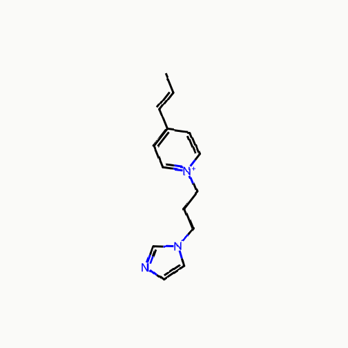 C/C=C/c1cc[n+](CCCn2ccnc2)cc1